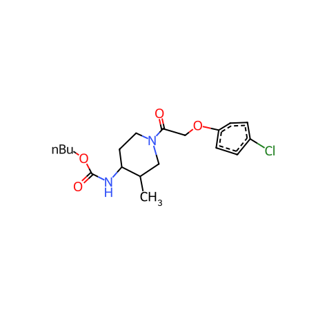 CCCCOC(=O)NC1CCN(C(=O)COc2ccc(Cl)cc2)CC1C